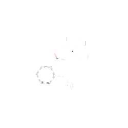 COc1ccccc1C(=O)OC(C)(C)C